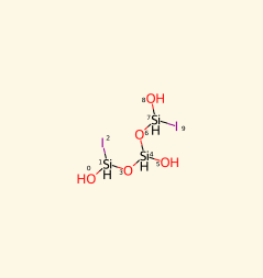 O[SiH](I)O[SiH](O)O[SiH](O)I